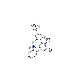 CC[C@@H]1Cc2c([nH]c3ccccc23)[C@@H](c2c(F)cc(/C=C/C(=O)O)cc2F)N1C12CC(C1)C2